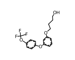 OCCCCOc1cccc(Oc2ccc(OC(F)(F)F)cc2)c1